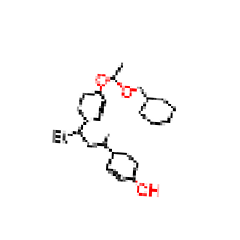 CCC(CC(C)C1C=CC(O)CC1)C1C=CC(OC(C)OCC2CCCCC2)CC1